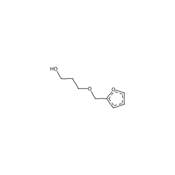 OCCCOCc1ccco1